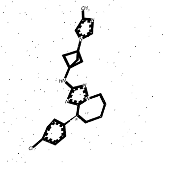 Cc1cn(C23CC(Nc4nc5n(n4)CCCC[C@H]5c4ccc(Cl)cc4)(C2)C3)cn1